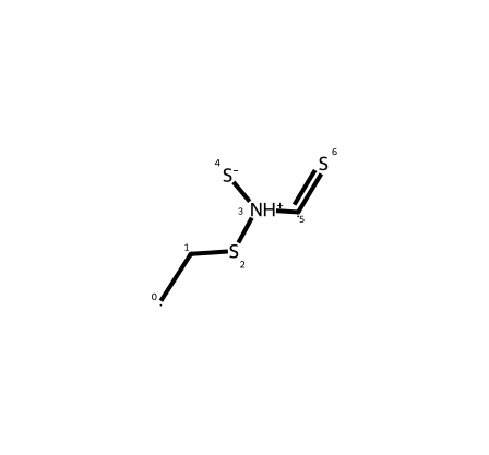 [CH2]CS[NH+]([S-])[C]=S